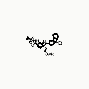 CCn1c2ccccc2c2cc(-c3nc4cc(C(=O)NS(=O)(=O)C5CC5)ccc4n3CCOC)ccc21